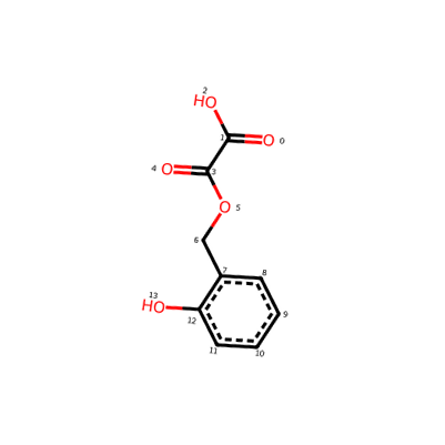 O=C(O)C(=O)OCc1ccccc1O